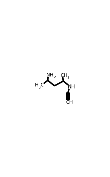 C#CNC(C)CC(C)N